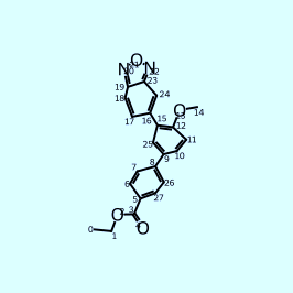 CCOC(=O)c1ccc(-c2ccc(OC)c(-c3ccc4nonc4c3)c2)cc1